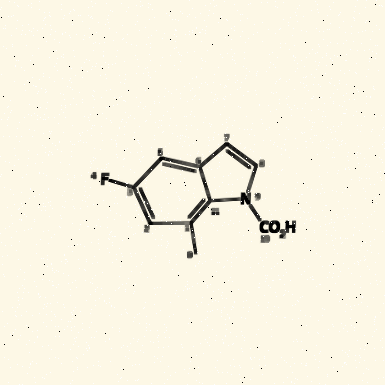 Cc1cc(F)cc2ccn(C(=O)O)c12